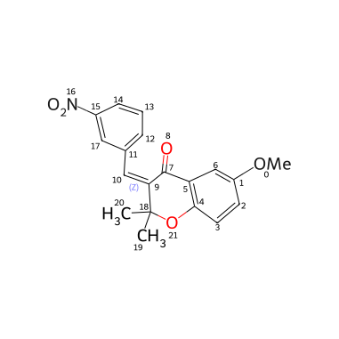 COc1ccc2c(c1)C(=O)/C(=C\c1cccc([N+](=O)[O-])c1)C(C)(C)O2